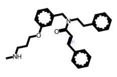 CNCCCOc1cccc(CN(CCc2ccccc2)C(=O)/C=C/c2ccccc2)c1